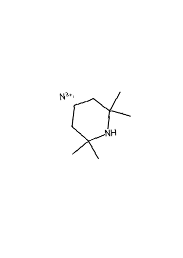 CC1(C)CCCC(C)(C)N1.[N+3]